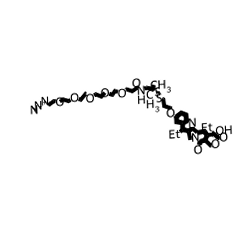 CCc1c2c(nc3ccc(OCCCSSC(C)(C)CNC(=O)CCOCCOCCOCCOCCOCCN=[N+]=[N-])cc13)-c1cc3c(c(=O)n1C2)COC(=O)[C@]3(O)CC